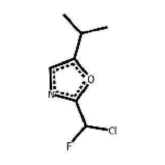 CC(C)c1cnc(C(F)Cl)o1